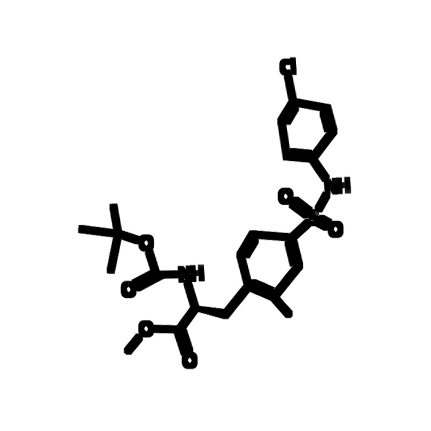 COC(=O)[C@H](Cc1ccc(S(=O)(=O)Nc2ccc(Cl)cc2)cc1C)NC(=O)OC(C)(C)C